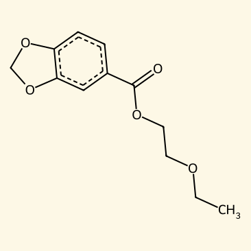 CCOCCOC(=O)c1ccc2c(c1)OCO2